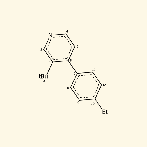 [CH2]C(C)(C)c1cnccc1-c1ccc(CC)cc1